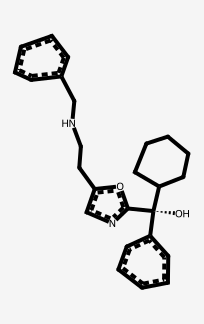 O[C@](c1ccccc1)(c1ncc(CCNCc2ccccc2)o1)C1CCCCC1